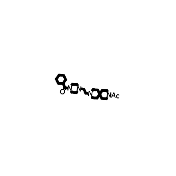 CC(=O)N1CCC2(CCN(CCN3CCN(C(=O)C4CCCCC4)CC3)CC2)CC1